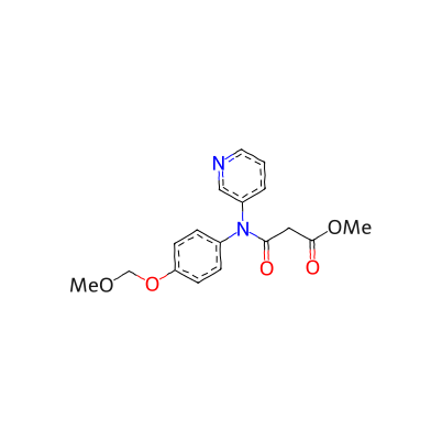 COCOc1ccc(N(C(=O)CC(=O)OC)c2cccnc2)cc1